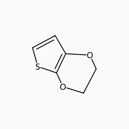 c1cc2c(s1)OCCO2